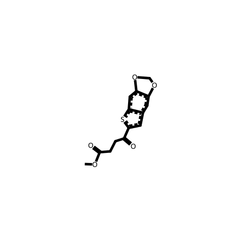 COC(=O)CCC(=O)c1cc2cc3c(cc2s1)OCO3